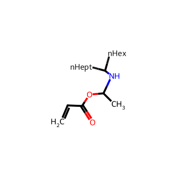 C=CC(=O)OC(C)NC(CCCCCC)CCCCCCC